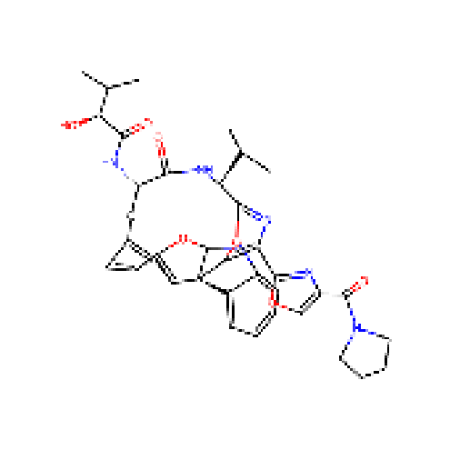 CC(C)[C@H](O)C(=O)N[C@H]1Cc2ccc3c(c2)[C@@]2(c4ccccc4NC2O3)c2oc(nc2-c2nc(C(=O)N3CCCC3)co2)[C@H](C(C)C)NC1=O